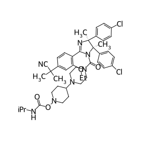 CCOc1cc(C(C)(C)C#N)ccc1C1=N[C@@](C)(c2ccc(Cl)cc2)[C@@](C)(c2ccc(Cl)cc2)N1C(=O)N1CCN(C2CCN(OC(=O)NC(C)C)CC2)CC1